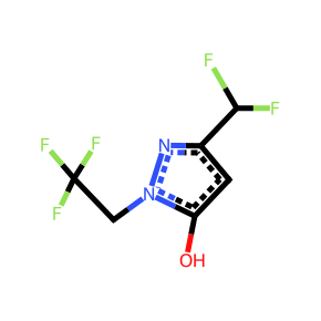 Oc1cc(C(F)F)nn1CC(F)(F)F